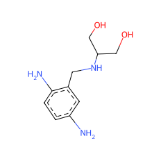 Nc1ccc(N)c(CNC(CO)CO)c1